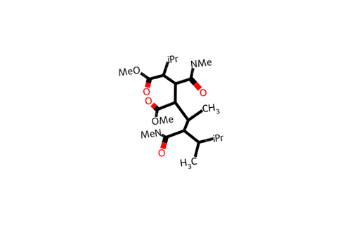 CNC(=O)C(C(C)C(C)C)C(C)C(C(=O)OC)C(C(=O)NC)C(C(=O)OC)C(C)C